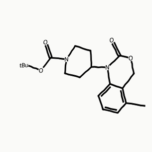 Cc1cccc2c1COC(=O)N2C1CCN(C(=O)OC(C)(C)C)CC1